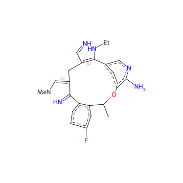 CCN/C1=C(\C=N)C/C(=C/NC)C(=N)c2ccc(F)cc2C(C)Oc2cc1cnc2N